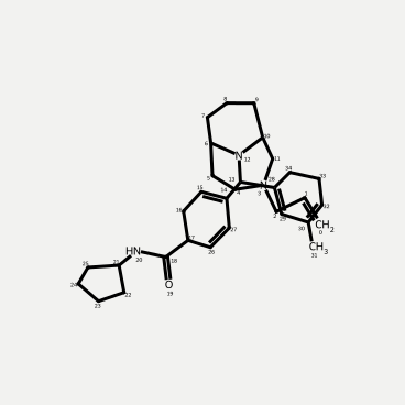 C=CCN1CCC2CCCC(C1)N2C(C1=CCC(C(=O)NC2CCCC2)C=C1)C1=CC(C)=CCC1